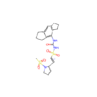 CS(=O)(=O)N1CCCC1/C=C/S(=O)(=O)NC(=O)Nc1c2c(cc3c1CCC3)CCC2